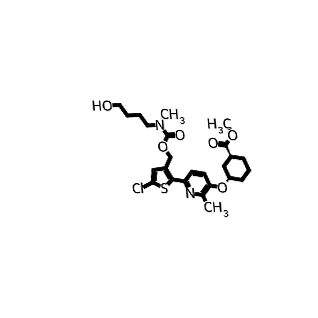 COC(=O)[C@H]1CCC[C@H](Oc2ccc(-c3sc(Cl)cc3COC(=O)N(C)CCCCO)nc2C)C1